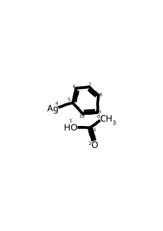 CC(=O)O.[Ag][c]1ccccc1